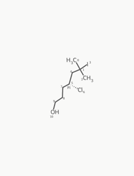 CC(C)(I)C[C@H](Cl)CCCO